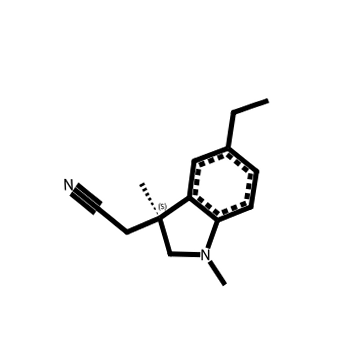 CCc1ccc2c(c1)[C@](C)(CC#N)CN2C